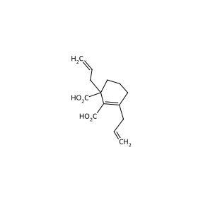 C=CCC1=C(C(=O)O)C(CC=C)(C(=O)O)CCC1